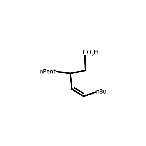 CCCC/C=C\C(CCCCC)CC(=O)O